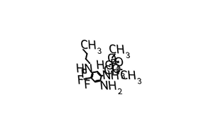 CCCCCNc1cc(NC)c(N)cc1C(F)(F)F.CCOP(=O)(O)OCC